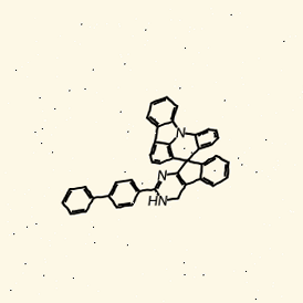 c1ccc(-c2ccc(C3=NC4=C(CN3)c3ccccc3C43c4ccccc4-n4c5ccccc5c5cccc3c54)cc2)cc1